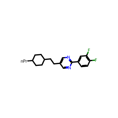 CCCC1CCC(CCc2cnc(-c3ccc(F)c(F)c3)nc2)CC1